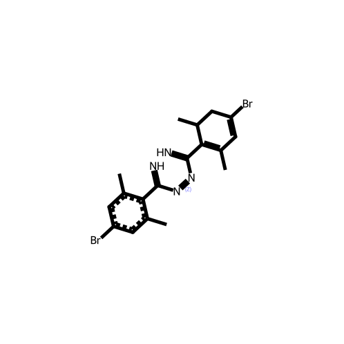 CC1=C(C(=N)/N=N\C(=N)c2c(C)cc(Br)cc2C)C(C)CC(Br)=C1